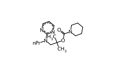 CCCN(CC(C)(C)OC(=O)N1CCCCC1)c1ncccn1